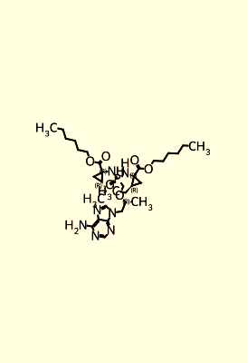 CCCCCCOC(=O)[C@@]1(NP(=O)(CO[C@H](C)Cn2cnc3c(N)ncnc32)N[C@]2(C(=O)OCCCCCC)C[C@H]2CC)C[C@H]1CC